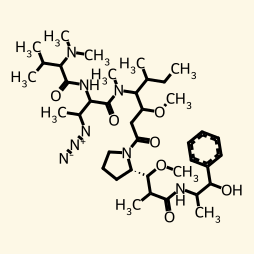 CCC(C)C(C(CC(=O)N1CCC[C@H]1C(OC)C(C)C(=O)NC(C)C(O)c1ccccc1)OC)N(C)C(=O)C(NC(=O)C(C(C)C)N(C)C)C(C)N=[N+]=[N-]